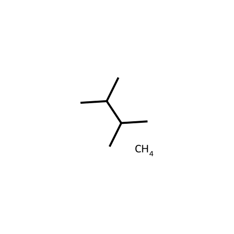 C.CC(C)C(C)C